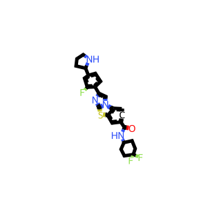 O=C(NC1CCC(F)(F)CC1)c1ccc2c(c1)sc1nc(-c3ccc(C4CCCN4)cc3F)cn12